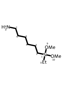 CC[Si](CCCCCCN)(OC)OC